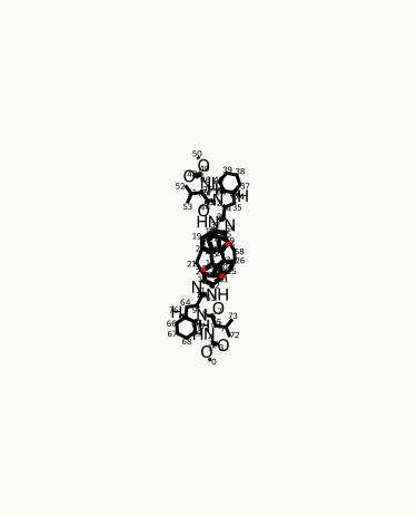 COC(=O)N[C@H](C(=O)N1C(c2nc3cc(-c4cc5ccc4CCc4ccc(c(-c6ccc7[nH]c(C8C[C@@H]9CCCC[C@@H]9N8C(=O)[C@@H](NC(=O)OC)C(C)C)nc7c6)c4)CC5)ccc3[nH]2)C[C@@H]2CCCC[C@@H]21)C(C)C